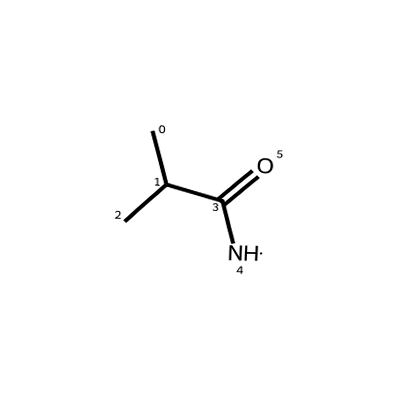 CC(C)C([NH])=O